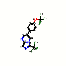 FC(F)(F)Oc1ccc(-c2cnc3cnc(C(F)(F)F)n3c2)cc1